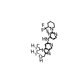 CC(C)n1c(CO)nc2cnc(Nc3ccnc(N4CCCCC4C(F)(F)F)n3)cc21